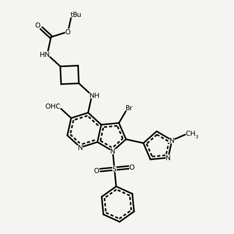 Cn1cc(-c2c(Br)c3c(NC4CC(NC(=O)OC(C)(C)C)C4)c(C=O)cnc3n2S(=O)(=O)c2ccccc2)cn1